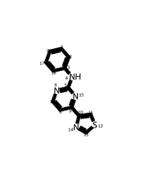 c1ccc(Nc2nccc(-c3cscn3)n2)cc1